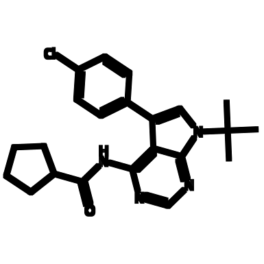 CC(C)(C)n1cc(-c2ccc(Cl)cc2)c2c(NC(=O)C3CCCC3)ncnc21